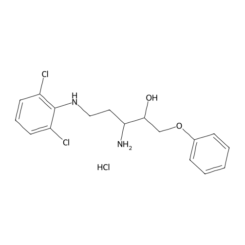 Cl.NC(CCNc1c(Cl)cccc1Cl)C(O)COc1ccccc1